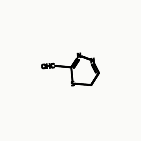 O=CC1=NN=CCS1